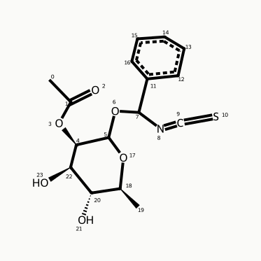 CC(=O)O[C@H]1C(OC(N=C=S)c2ccccc2)O[C@@H](C)[C@H](O)[C@H]1O